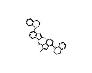 CC1=Cc2c(cccc2N2CCCc3ccccc32)C1SC1C(C)=Cc2c1cccc2N1CCCc2ccccc21